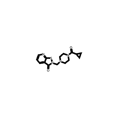 O=C(C1CC1)N1CCN(Cn2sc3ncccc3c2=O)CC1